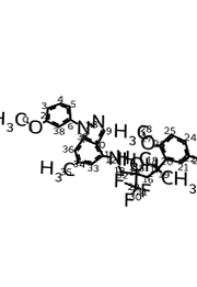 COc1cccc(-n2ncc3c(NCC(O)(CC(C)(C)c4cc(F)ccc4OC)C(F)(F)F)cc(C)cc32)c1